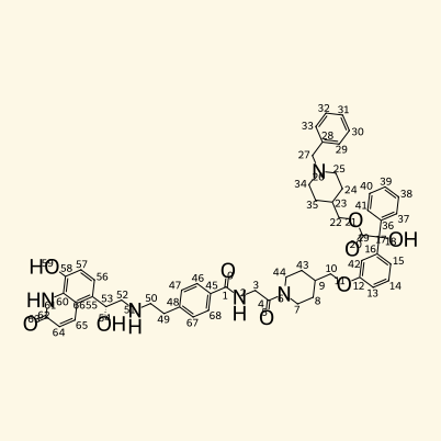 O=C(NCC(=O)N1CCC(COc2cccc(C(O)(C(=O)OCC3CCN(Cc4ccccc4)CC3)c3ccccc3)c2)CC1)c1ccc(CCNC[C@H](O)c2ccc(O)c3[nH]c(=O)ccc23)cc1